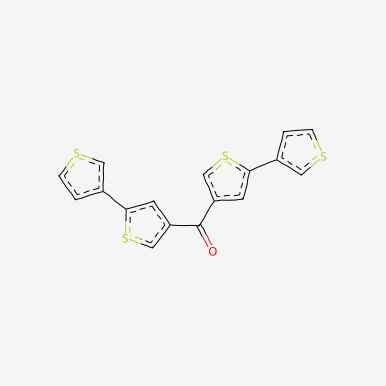 O=C(c1csc(-c2ccsc2)c1)c1csc(-c2ccsc2)c1